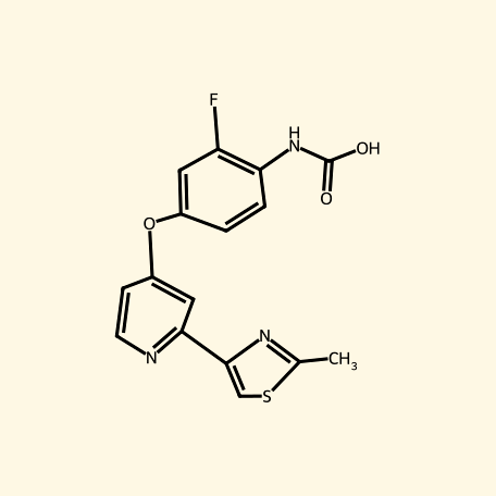 Cc1nc(-c2cc(Oc3ccc(NC(=O)O)c(F)c3)ccn2)cs1